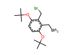 BCc1c(OC(C)(C)C)ccc(OC(C)(C)C)c1CBr